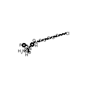 Nc1nc2c(nc(-c3ccc(C(=O)NCCOCCOCCOCCOCCOCCCCCCCl)cc3)n2Cc2ccc(F)cc2)c(=O)[nH]1